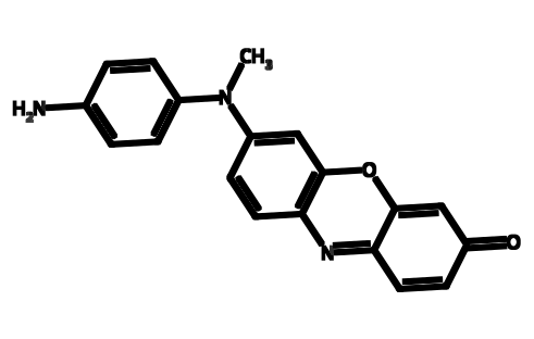 CN(c1ccc(N)cc1)c1ccc2nc3ccc(=O)cc-3oc2c1